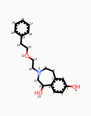 Oc1ccc2c(c1)CCN(CCOCCc1ccccc1)CC2O